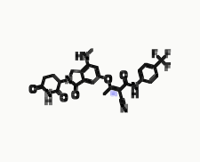 CNc1cc(O/C(C)=C(/C#N)C(=O)Nc2ccc(C(F)(F)F)cc2)cc2c1CN(C1CCC(=O)NC1=O)C2=O